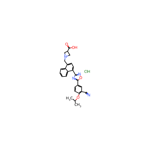 CC(C)Oc1ccc(-c2nc(-c3ccc(CN4CC(C(=O)O)C4)c4ccccc34)no2)cc1C#N.Cl